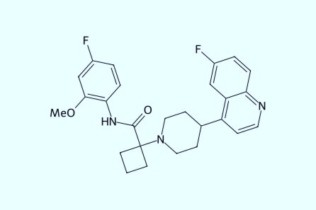 COc1cc(F)ccc1NC(=O)C1(N2CCC(c3ccnc4ccc(F)cc34)CC2)CCC1